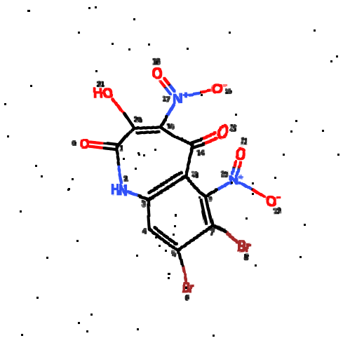 O=c1[nH]c2cc(Br)c(Br)c([N+](=O)[O-])c2c(=O)c([N+](=O)[O-])c1O